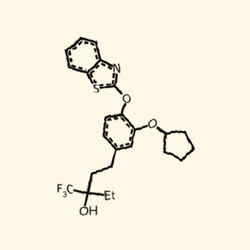 CCC(O)(CCc1ccc(Oc2nc3ccccc3s2)c(OC2CCCC2)c1)C(F)(F)F